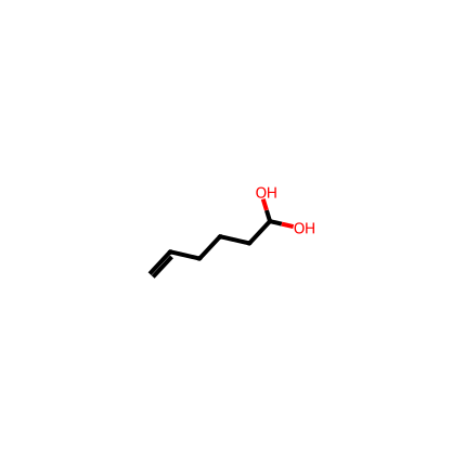 C=CCCCC(O)O